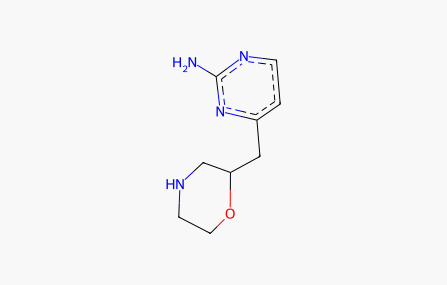 Nc1nccc(CC2CNCCO2)n1